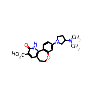 CN(C)C1CCN(c2ccc3c(c2)OCCc2cc(C(=O)O)c(=O)[nH]c2-3)C1